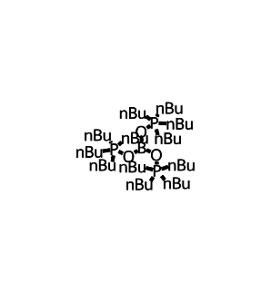 CCCCP(CCCC)(CCCC)(CCCC)OB(OP(CCCC)(CCCC)(CCCC)CCCC)OP(CCCC)(CCCC)(CCCC)CCCC